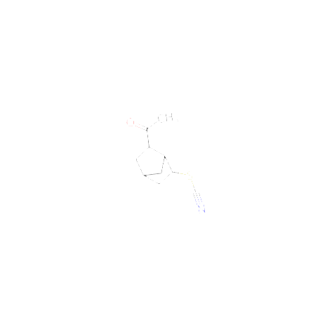 CC(=O)C1CC2CC(SC#N)C1C2